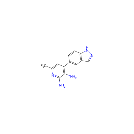 Nc1nc(C(F)(F)F)cc(-c2ccc3[nH]ncc3c2)c1N